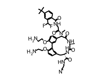 C[C@@H]1NC(=O)[C@@H](N(C)C(=O)CNC(=O)c2ccc(C(C)(C)C)cc2C(F)F)c2ccc(OCCN)c(c2)-c2cc(ccc2OCCN)C[C@@H](C(=O)NCC#N)NC1=O